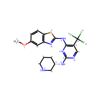 COc1ccc2sc(Nc3nc(N[C@H]4CCCNC4)ncc3C(F)(F)F)nc2c1